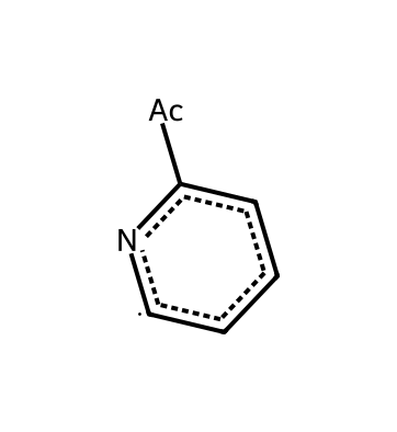 CC(=O)c1ccc[c]n1